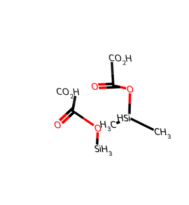 C[SiH](C)OC(=O)C(=O)O.O=C(O)C(=O)O[SiH3]